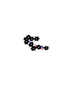 CC1(C)c2ccccc2-c2c(N(c3ccc(-c4cccc5c4oc4cc6nc(-c7ccccc7)oc6cc45)cc3)c3cccc(-c4ccccc4)c3)cccc21